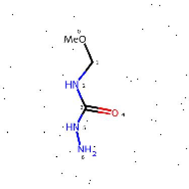 COCNC(=O)NN